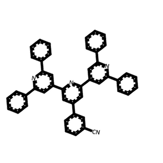 N#Cc1cccc(-c2cc(-c3cc(-c4ccccc4)nc(-c4ccccc4)c3)nc(-c3cc(-c4ccccc4)nc(-c4ccccc4)c3)c2)c1